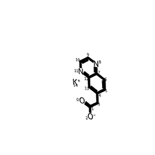 O=C([O-])Cc1ccc2nccnc2c1.[K+]